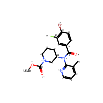 Cc1cccnc1N(C(=O)c1ccc(Br)c(F)c1)[C@@H]1CCCN(C(=O)OC(C)(C)C)C1